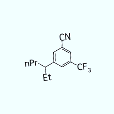 CCCC(CC)c1cc(C#N)cc(C(F)(F)F)c1